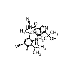 CC(C)c1cc(C#N)c(F)c(C(C)C)c1NC(=O)N=S(=O)(NC#N)c1cnc(C(C)(C)O)s1